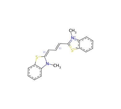 CN1/C(=C\C=C\c2sc3ccccc3[n+]2C)Sc2ccccc21